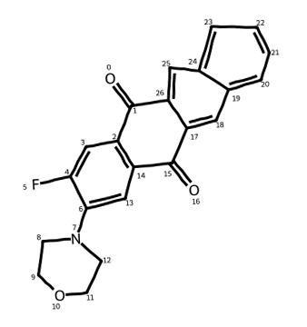 O=C1c2cc(F)c(N3CCOCC3)cc2C(=O)c2cc3ccccc3cc21